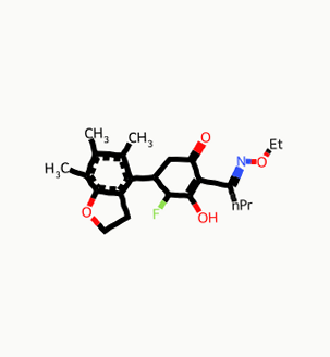 CCCC(=NOCC)C1=C(O)C(F)C(c2c(C)c(C)c(C)c3c2CCO3)CC1=O